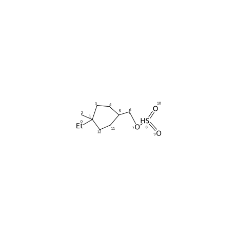 CCC1(C)CCC([CH]O[SH](=O)=O)CC1